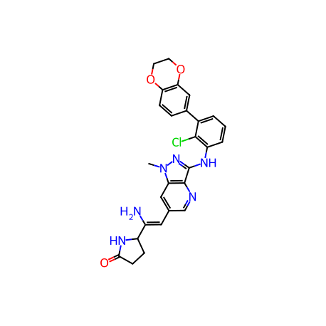 Cn1nc(Nc2cccc(-c3ccc4c(c3)OCCO4)c2Cl)c2ncc(C=C(N)C3CCC(=O)N3)cc21